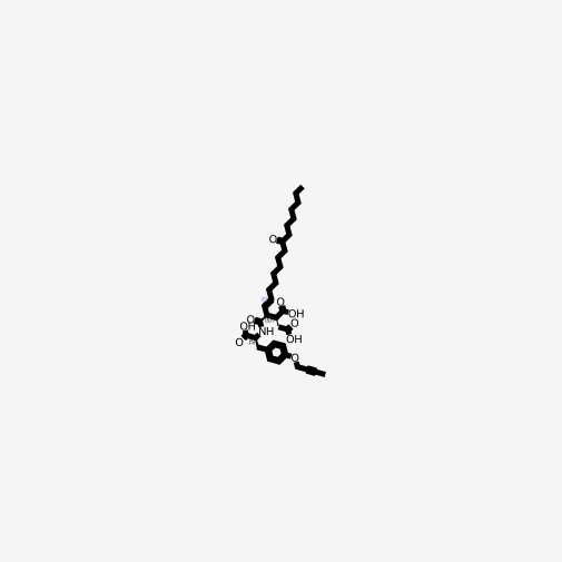 CC#CCOc1ccc(C[C@H](NC(=O)[C@@H](/C=C/CCCCCCC(=O)CCCCCCC)[C@@H](CC(=O)O)C(=O)O)C(=O)O)cc1